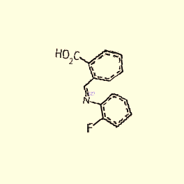 O=C(O)c1ccccc1/C=N\c1ccccc1F